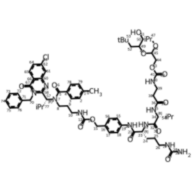 Cc1ccc(C(=O)N(CCCNC(=O)OCc2ccc(NC(=O)[C@@H](CCCNC(N)=O)NC(=O)[C@H](NC(=O)CCNC(=O)OCC(OC(C)C)OC(CO)CC(C)(C)C)C(C)C)cc2)[C@@H](c2nc3cc(Cl)ccc3c(=O)n2Cc2ccccc2)C(C)C)cc1